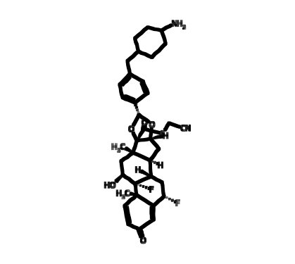 C[C@]12C=CC(=O)C=C1[C@@H](F)C[C@H]1[C@@H]3C[C@H]4O[C@@H](c5ccc(CC6CCC(N)CC6)cc5)O[C@@]4(C(=O)SCC#N)[C@@]3(C)C[C@H](O)[C@@]12F